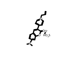 C=CC[n+]1ccc(-c2cc3ccc(N(C)C)cc3oc2=O)cc1.O=S(=O)([O-])O